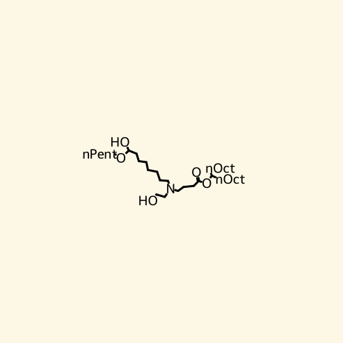 CCCCCCCCC(CCCCCCCC)OC(=O)CCCN(CCO)CCCCCCCC(O)OCCCCC